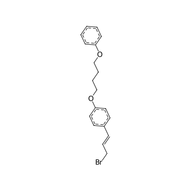 BrC/C=C/c1ccc(OCCCCOc2ccccc2)cc1